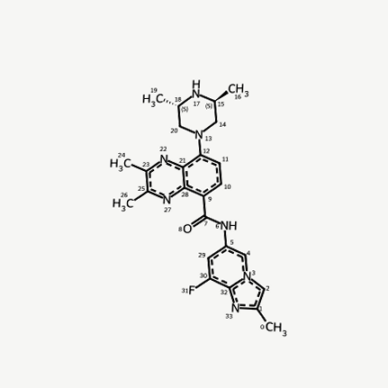 Cc1cn2cc(NC(=O)c3ccc(N4C[C@H](C)N[C@@H](C)C4)c4nc(C)c(C)nc34)cc(F)c2n1